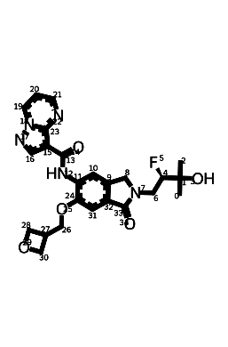 CC(C)(O)[C@H](F)CN1Cc2cc(NC(=O)c3cnn4cccnc34)c(OCC3COC3)cc2C1=O